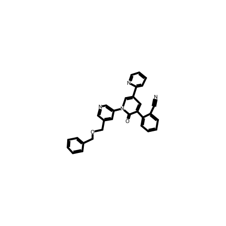 N#Cc1ccccc1-c1cc(-c2ccccn2)cn(-c2cncc(COCc3ccccc3)c2)c1=O